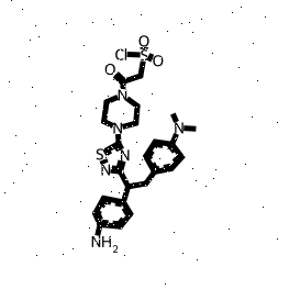 CN(C)c1ccc(CC(c2ccc(N)cc2)c2nsc(N3CCN(C(=O)CS(=O)(=O)Cl)CC3)n2)cc1